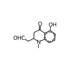 CN1c2cccc(O)c2C(=O)CC1CC=O